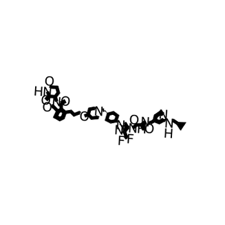 O=C1CCC(N2C(=O)c3cccc(CCCOC4CCN(C[C@H]5CC[C@H](n6cc(NC(=O)c7coc(-c8ccnc(NCC9CC9)c8)n7)c(C(F)F)n6)CC5)CC4)c3C2=O)C(=O)N1